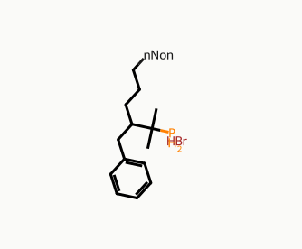 Br.CCCCCCCCCCCCC(Cc1ccccc1)C(C)(C)P